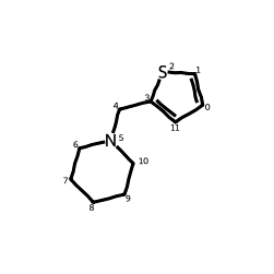 c1csc(CN2CCCCC2)c1